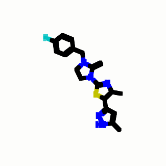 C=C1N(Cc2ccc(F)cc2)CCN1C1=NC(C)C(c2cc(C)[nH]n2)S1